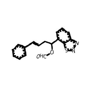 O=COC(CC=Cc1ccccc1)c1cccc2nnsc12